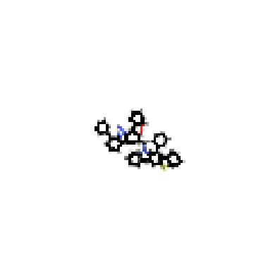 Cn1c2c(C3CCCCC3)cccc2c2cc(Cn3c4ccccc4c4cc5sc6ccccc6c5c(C5CCCCC5)c43)c3oc4ccccc4c3c21